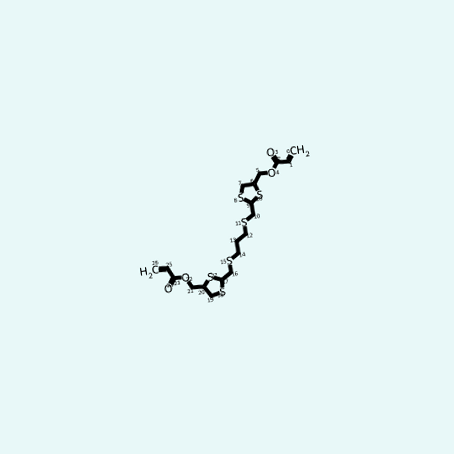 C=CC(=O)OCC1CSC(CSCCCSCC2SCC(COC(=O)C=C)S2)S1